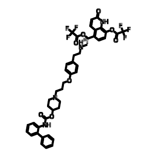 O=C(Nc1ccccc1-c1ccccc1)OC1CCN(CCCOc2ccc(CCNC[C@H](OC(=O)C(F)(F)F)c3ccc(OC(=O)C(F)(F)F)c4[nH]c(=O)ccc34)cc2)CC1